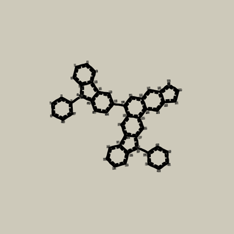 c1ccc(-n2c3ccccc3c3cc(-c4cc5cc6sccc6cc5c5cc6c(cc45)c4ccccc4n6-c4ccccc4)ccc32)cc1